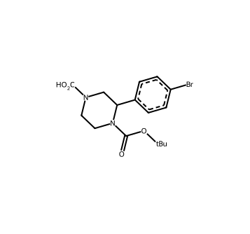 CC(C)(C)OC(=O)N1CCN(C(=O)O)CC1c1ccc(Br)cc1